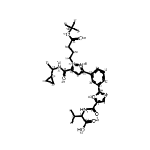 CC(C)C(NC(=O)c1cnc(-c2cccc(-c3cc(C(=O)NC(C)C4CC4)n(CCCC(=O)OC(C)(C)C)n3)c2)o1)C(=O)O